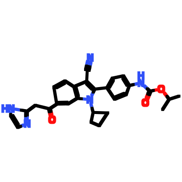 CC(C)OC(=O)Nc1ccc(-c2c(C#N)c3ccc(C(=O)Cc4ncc[nH]4)cc3n2C2CCC2)cc1